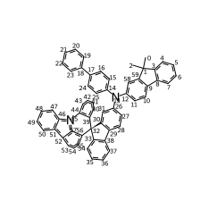 CC1(C)c2ccccc2-c2ccc(N(c3ccc(-c4ccccc4)cc3)c3ccc4c(c3)[C@]3(c5ccccc5-4)c4ccccc4-n4c5ccccc5c5cccc3c54)cc21